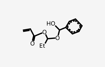 C=CC(=O)OC(CC)OC(O)c1ccccc1